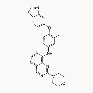 Cc1cc(Nc2ncnc3cnc(N4CCOCC4)nc23)ccc1Oc1ccc2scnc2c1